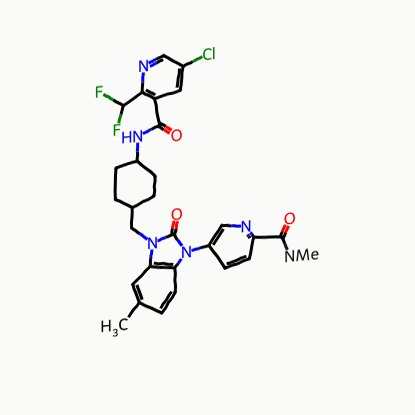 CNC(=O)c1ccc(-n2c(=O)n(CC3CCC(NC(=O)c4cc(Cl)cnc4C(F)F)CC3)c3cc(C)ccc32)cn1